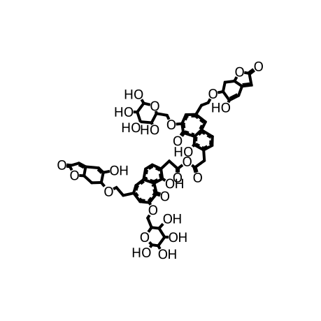 O=C1C=C2C=C(O)C(OCCc3cc(OCC4OC(O)C(O)C(O)C4O)c(=O)c4c(O)c(CC(=O)OC(=O)Cc5ccc6cc(CCOC7CC8OC(=O)C=C8C=C7O)cc(OCC7OC(O)C(O)C(O)C7O)c(=O)c6c5O)ccc4c3)CC2O1